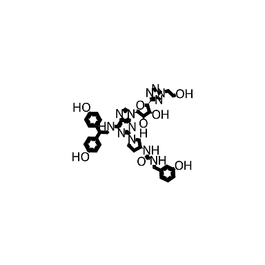 O=C(NCc1cccc(O)c1)N[C@@H]1CCN(c2nc(NCC(c3ccc(O)cc3)c3ccc(O)cc3)c3ncn([C@@H]4O[C@H](c5nnn(CCO)n5)[C@@H](O)[C@H]4O)c3n2)C1